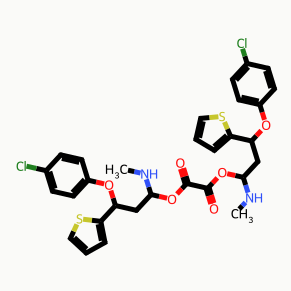 CNC(CC(Oc1ccc(Cl)cc1)c1cccs1)OC(=O)C(=O)OC(CC(Oc1ccc(Cl)cc1)c1cccs1)NC